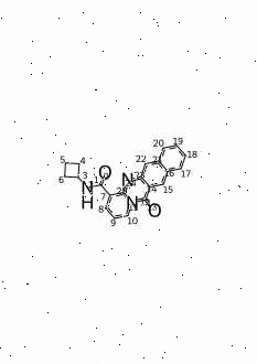 O=C(NC1CCC1)c1cccn2c(=O)c3cc4ccccc4cc3nc12